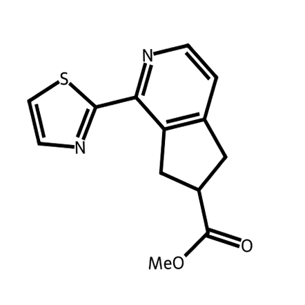 COC(=O)C1Cc2ccnc(-c3nccs3)c2C1